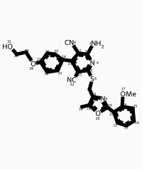 [C-]#[N+]c1c(N)nc(SCc2nc(-c3ccccc3OC)oc2C)c(C#N)c1-c1ccc(OCCO)cc1